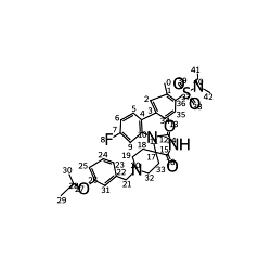 Cc1cc(-c2ccc(F)cc2N2C(=O)NC(=O)C23CCN(Cc2cccc(OC(C)C)c2)CC3)ccc1S(=O)(=O)N(C)C